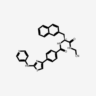 N#CCNC(=O)[C@H](Cc1ccc2ccccc2c1)NC(=O)c1ccc(-c2csc(Nc3ccncc3)n2)cc1